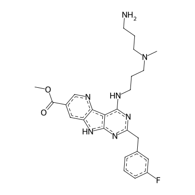 COC(=O)c1cnc2c(c1)[nH]c1nc(Cc3cccc(F)c3)nc(NCCCN(C)CCCN)c12